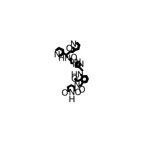 O=C1CCC(N2C(=O)c3cccc(NCc4cn(CC(=O)NC(c5cccnc5)c5cc6cccnc6o5)nn4)c3C2=O)C(=O)N1